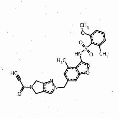 C#CC(=O)N1Cc2cn(Cc3cc(C)c4c(NS(=O)(=O)c5c(C)cccc5OC)noc4c3)nc2C1